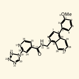 COc1cccc(-c2ccc(CNC(=O)c3ccnc(-n4cnnn4)c3)c3cnccc23)c1